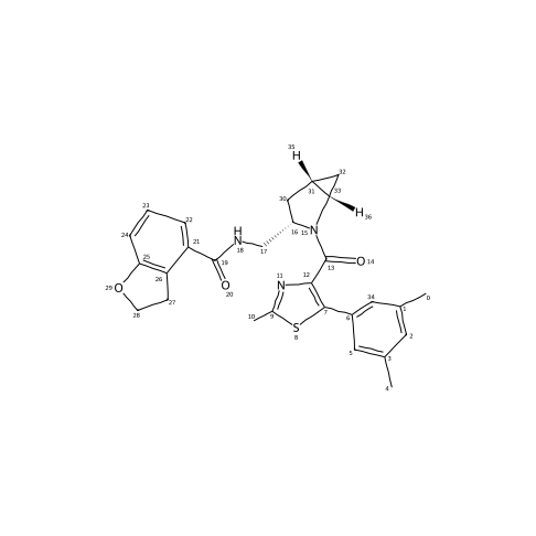 Cc1cc(C)cc(-c2sc(C)nc2C(=O)N2[C@H](CNC(=O)c3cccc4c3CCO4)C[C@@H]3C[C@@H]32)c1